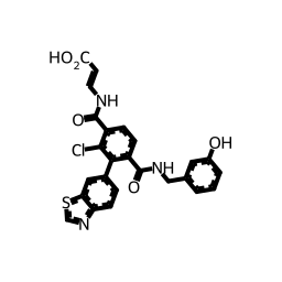 O=C(O)C=CNC(=O)c1ccc(C(=O)NCc2cccc(O)c2)c(-c2ccc3ncsc3c2)c1Cl